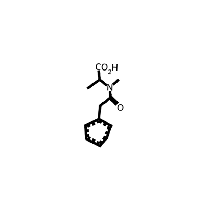 CC(C(=O)O)N(C)C(=O)Cc1ccccc1